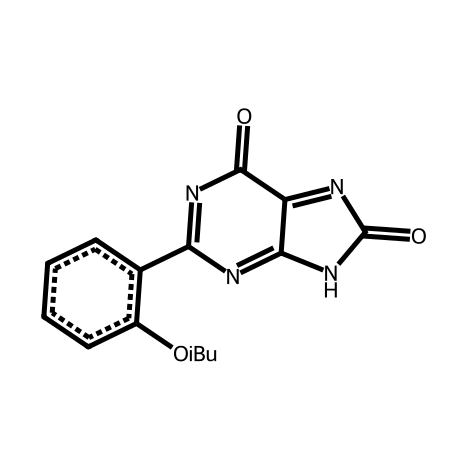 CC(C)COc1ccccc1C1=NC(=O)C2=NC(=O)NC2=N1